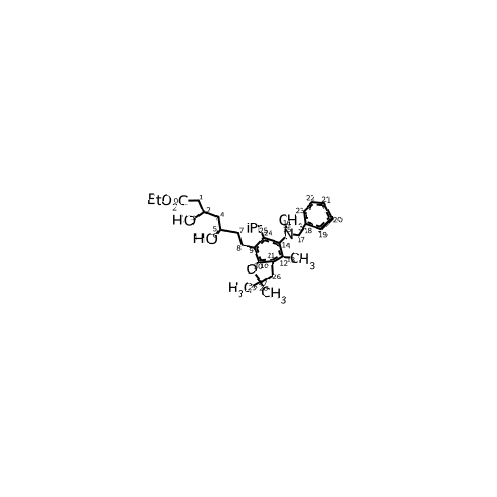 CCOC(=O)CC(O)CC(O)CCc1c2c(c(C)c(N(C)Cc3ccccc3)c1C(C)C)CC(C)(C)O2